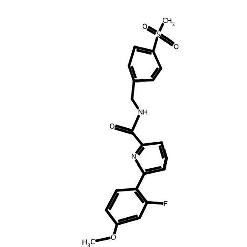 COc1ccc(-c2cccc(C(=O)NCc3ccc(S(C)(=O)=O)cc3)n2)c(F)c1